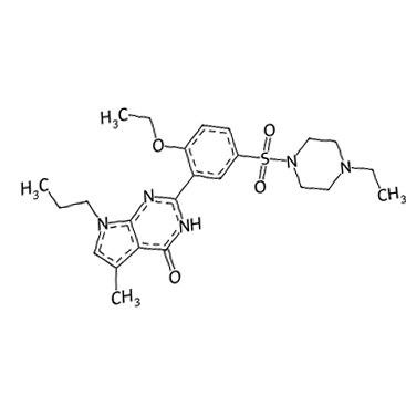 CCCn1cc(C)c2c(=O)[nH]c(-c3cc(S(=O)(=O)N4CCN(CC)CC4)ccc3OCC)nc21